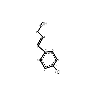 OCC=Cc1ccc(Cl)cc1